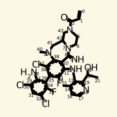 C=CC(=O)N1CCN2C(=N)c3c(Nc4c(C)ccnc4C(C)O)c(F)c(-c4c(N)c(Cl)cc(Cl)c4F)c(Cl)c3N(C)CC2C1